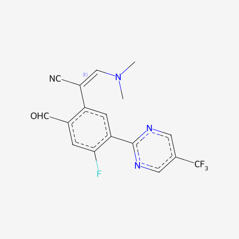 CN(C)/C=C(/C#N)c1cc(-c2ncc(C(F)(F)F)cn2)c(F)cc1C=O